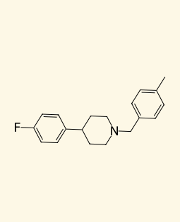 Cc1ccc(CN2CCC(c3ccc(F)cc3)CC2)cc1